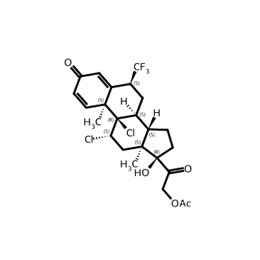 CC(=O)OCC(=O)[C@@]1(O)CC[C@H]2[C@@H]3C[C@H](C(F)(F)F)C4=CC(=O)C=C[C@]4(C)[C@@]3(Cl)[C@@H](Cl)C[C@@]21C